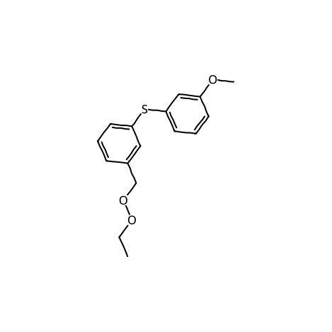 CCOOCc1cccc(Sc2cccc(OC)c2)c1